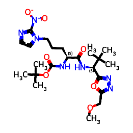 COCc1nnc([C@@H](NC(=O)[C@H](CCCn2ccnc2[N+](=O)[O-])NC(=O)OC(C)(C)C)C(C)(C)C)o1